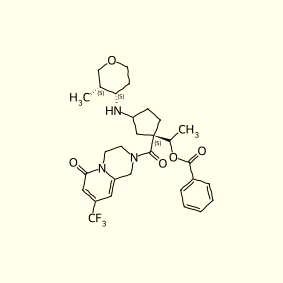 CC(OC(=O)c1ccccc1)[C@]1(C(=O)N2CCn3c(cc(C(F)(F)F)cc3=O)C2)CCC(N[C@H]2CCOC[C@H]2C)C1